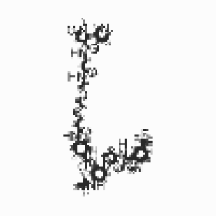 CN1C(=O)C[C@H](C(=O)NCCC(=O)NCCOCCOCCC(=O)NC2CCC(C(=O)N[C@@H]3C[C@H](NC(C)(C)C)CC[C@@H]3N3CC[C@H](Nc4ncnc5ccc(C(F)(F)F)cc45)C3=O)CC2)[C@H]1c1cccnc1